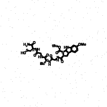 CC[C@H](C)[C@@H](NC(=O)CNC(=O)C1CC2c3ccc(OC)cc3NC2N1C(=O)OC(C)(C)C)C(=O)NCC(=O)N[C@@H](CSO)C(N)=O